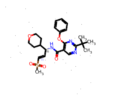 CC(C)(C)c1ncc(C(=O)N[C@H](/C=C/S(C)(=O)=O)C2CCOCC2)c(Oc2ccccc2)n1